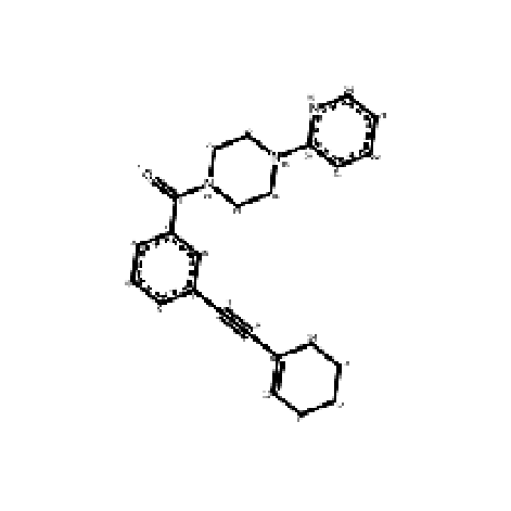 O=C(c1cccc(C#CC2=CCCCC2)c1)N1CCN(c2ccccn2)CC1